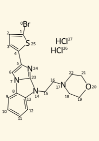 Brc1ccc(-c2cn3c4ccccc4n(CCN4CCOCC4)c3n2)s1.Cl.Cl